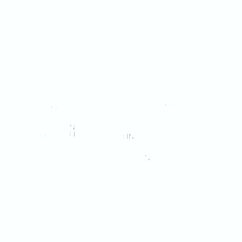 CC(C)Oc1cc(F)ccc1-c1cc(NC(=O)[C@H]2CCCC(NC(=O)OC(C)(C)C)C2)ncc1F